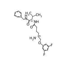 CC(C)[C@H](NC(=O)CCC[C@@H](N)COc1cc(F)cc(F)c1)C(=O)NCc1ccccc1